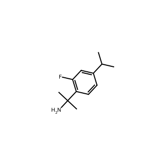 CC(C)c1ccc(C(C)(C)N)c(F)c1